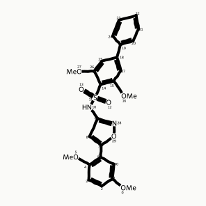 COc1ccc(OC)c(-c2cc(NS(=O)(=O)c3c(OC)cc(-c4ccccc4)cc3OC)no2)c1